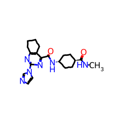 CNC(=O)[C@H]1CC[C@H](NC(=O)c2nc(-n3ccnc3)nc3c2CCCC3)CC1